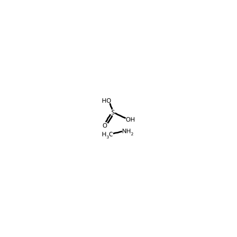 CN.O=S(O)O